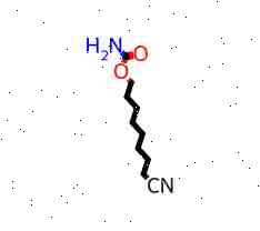 N#CCCCCCCCCOC(N)=O